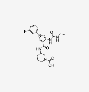 CCNC(=O)Nc1cn(-c2cccc(F)c2)cc1C(=O)NC1CCCN(C(=O)O)C1